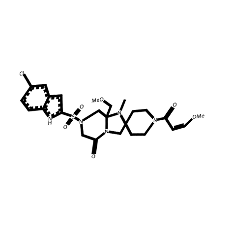 CO/C=C\C(=O)N1CCC2(CC1)CN1C(=O)CN(S(=O)(=O)c3cc4cc(Cl)ccc4[nH]3)CC1(COC)N2C